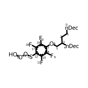 CCCCCCCCCCCCC(CCCCCCCCCC)COc1c(F)c(F)c(SOOO)c(F)c1F